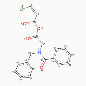 O=C(/C=C\Cl)OC(=O)CN(Cc1ccccc1)C(=O)c1ccccc1